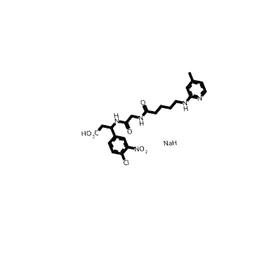 Cc1ccnc(NCCCCC(=O)NCC(=O)NC(CC(=O)O)c2ccc(Cl)c([N+](=O)[O-])c2)c1.[NaH]